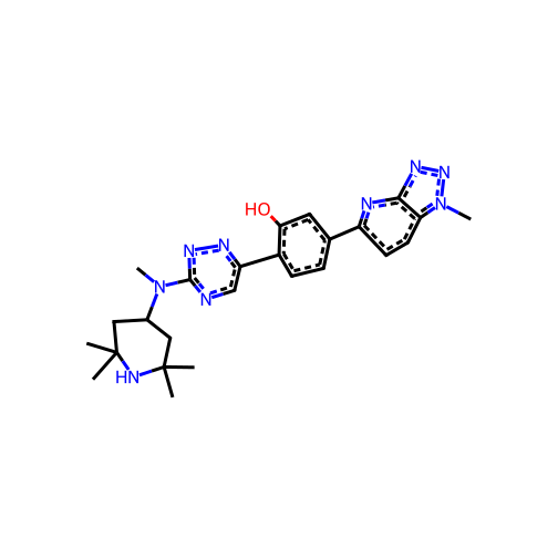 CN(c1ncc(-c2ccc(-c3ccc4c(nnn4C)n3)cc2O)nn1)C1CC(C)(C)NC(C)(C)C1